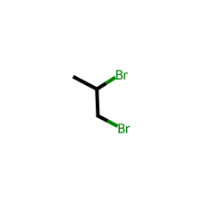 CC(Br)CBr